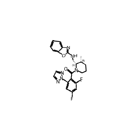 C[C@@H]1CCCN(C(=O)c2c(F)cc(F)cc2-n2nccn2)[C@@H]1CNc1nc2ccccc2o1